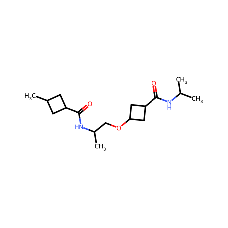 CC1CC(C(=O)NC(C)COC2CC(C(=O)NC(C)C)C2)C1